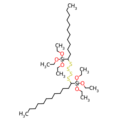 CCCCCCCCCCCC(SSSSC(CCCCCCCCCCC)[Si](OCC)(OCC)OCC)[Si](OCC)(OCC)OCC